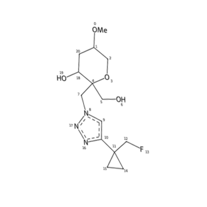 COC1COC(CO)(Cn2cc(C3(CF)CC3)nn2)C(O)C1